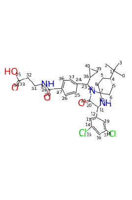 CC(C)(C)C1CCC2(CC1)NC(c1cc(Cl)cc(Cl)c1)C(=O)N2C(c1ccc(C(=O)NCCC(=O)O)cc1)C1CC1